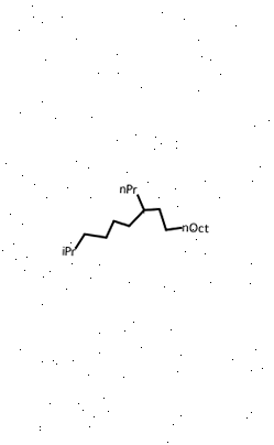 CCCCCCCCCC[C](CCC)CCCCC(C)C